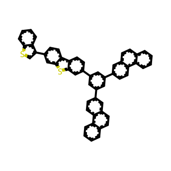 c1ccc2c(c1)ccc1cc(-c3cc(-c4ccc5c(ccc6ccccc65)c4)cc(-c4ccc5c(c4)sc4cc(-c6csc7ccccc67)ccc45)c3)ccc12